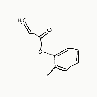 C=CC(=O)Oc1ccccc1I